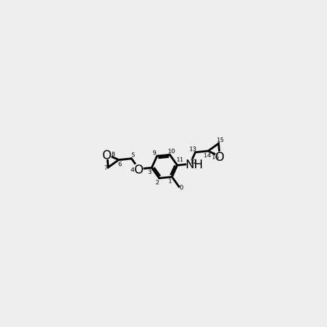 Cc1cc(OCC2CO2)ccc1NCC1CO1